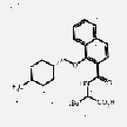 CC(C)(C)C(NC(=O)c1ccc2ccccc2c1OC[C@H]1CC[C@H](C(F)(F)F)CC1)C(=O)O